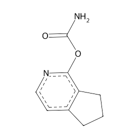 NC(=O)Oc1nccc2c1CCC2